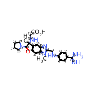 Cn1c(CNc2ccc(C(=N)N)cc2)nc2cc(C(C)(NCC(=O)O)C(=O)N3CCCC3)ccc21